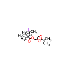 CC(C)C1OCC(COC(=O)C(C)(CC(C)(C)I)C(C)C)O1